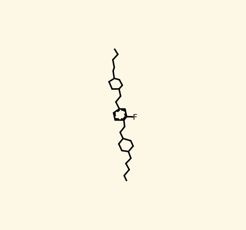 CCCCCC1CCC(CCc2ccc(CCC3CCC(CCCCC)CC3)c(F)c2)CC1